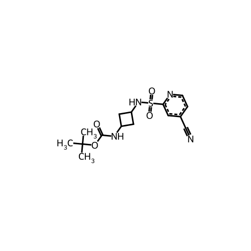 CC(C)(C)OC(=O)NC1CC(NS(=O)(=O)c2cc(C#N)ccn2)C1